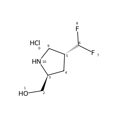 Cl.OC[C@@H]1C[C@@H](C(F)F)CN1